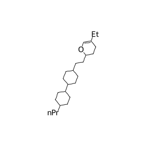 CCCC1CCC(C2CCC(CCC3CCC(CC)=CO3)CC2)CC1